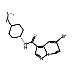 CO[C@H]1CC[C@H](NC(=O)c2cnn3ccc(Br)cc23)CC1